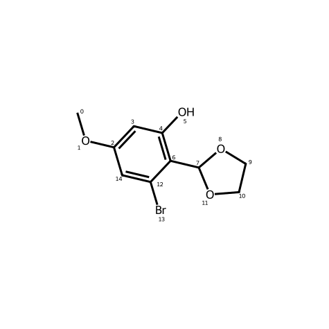 COc1cc(O)c(C2OCCO2)c(Br)c1